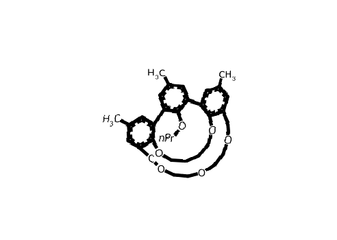 CCCOc1c2cc(C)cc1-c1cc(C)cc3c1OCCCCOc1c(cc(C)cc1-2)COCCOCCOC3